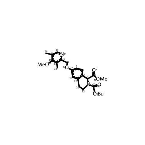 COC(=O)C1c2ccc(OCc3ncc(C)c(OC)c3C)cc2CCN1C(=O)OCC(C)C